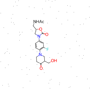 CC(=O)NCC1CN(c2ccc(N3CCC(=O)C(CO)C3)c(F)c2)C(=O)O1